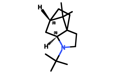 CC(C)(C)N1CCC23CC[C@@H](C[C@H]12)C3(C)C